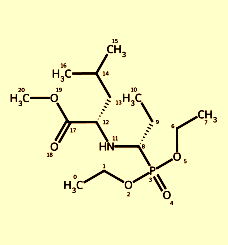 CCOP(=O)(OCC)[C@@H](CC)N[C@@H](CC(C)C)C(=O)OC